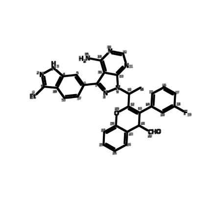 CCc1n[nH]c2cc(-c3nn(C(C)C4=C(c5cccc(F)c5)C(C=O)c5ccccc5O4)c4ncnc(N)c34)ccc12